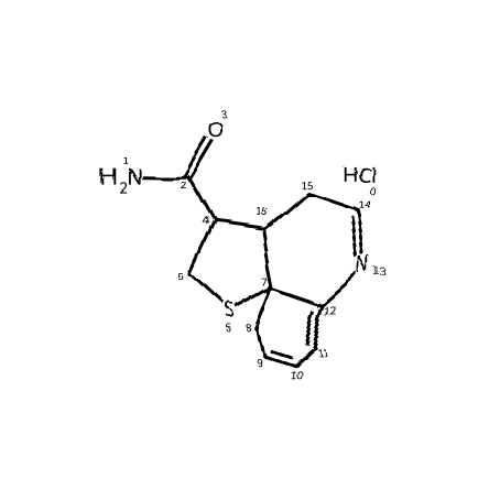 Cl.NC(=O)C1CSC23CC=CC=C2N=CCC13